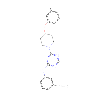 CC(=O)Nc1cccc(Nc2ncnc(N3CCC(Oc4cccc(C)c4)CC3)n2)c1